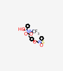 O=C(N[C@H](CO)c1ccccc1)[C@H](Cc1ccc(OCCn2c(=O)sc3ccccc32)cc1)OCC(F)(F)F